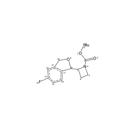 CC(C)(C)OC(=O)N1CCC1C1OCc2cc(F)ccc21